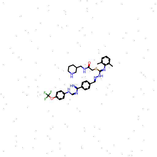 Cc1cccc(C)c1/N=C(/N/N=C/c1ccc(C(=N)/N=C\Nc2ccc(OC(F)(F)F)cc2)cc1)SCC(=O)NCC1CCCNC1